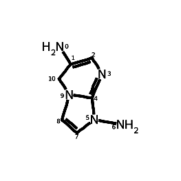 NC1=CN=C2N(N)C=CN2C1